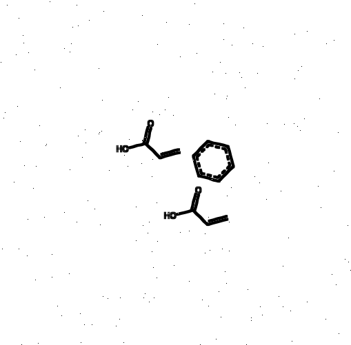 C=CC(=O)O.C=CC(=O)O.c1ccccc1